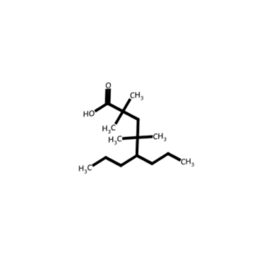 CCCC(CCC)C(C)(C)CC(C)(C)C(=O)O